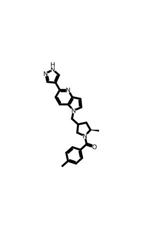 Cc1ccc(C(=O)N2CC(Cn3ccc4nc(-c5cn[nH]c5)ccc43)C[C@H]2C)cc1